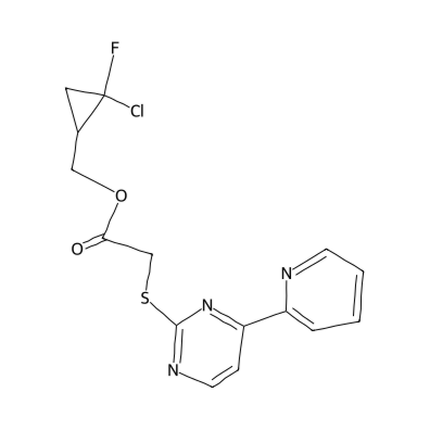 O=C(CSc1nccc(-c2ccccn2)n1)OCC1CC1(F)Cl